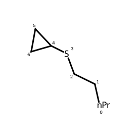 [CH2]CCCCSC1CC1